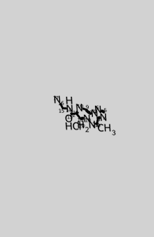 C[C@H](N)c1ncnn1-c1cnc(C(=O)NCC#N)cn1.Cl